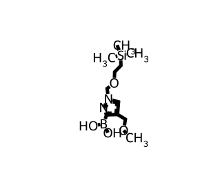 COCc1cn(COCC[Si](C)(C)C)nc1B(O)O